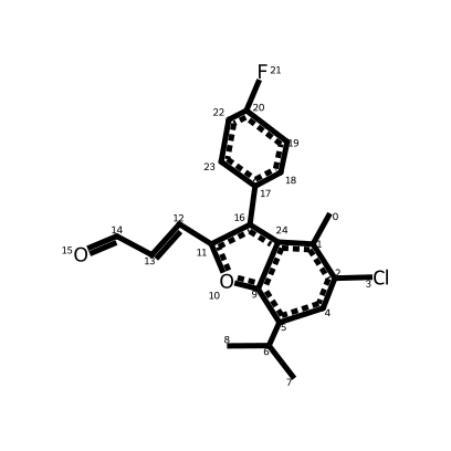 Cc1c(Cl)cc(C(C)C)c2oc(C=CC=O)c(-c3ccc(F)cc3)c12